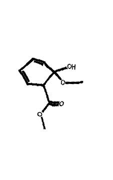 COC(=O)C1C=CC=CC1(O)OC